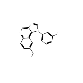 CCc1ccc2ncc3ncn(-c4cccc(N)c4)c3c2c1